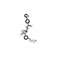 CC/C(=N\OCCN(C(=O)OC)c1cccc(CC(=O)O)c1)c1ccc(-n2cccn2)cc1